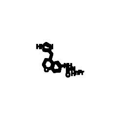 CCCNC(=O)Nc1ccc2c(c1)C(Cc1c[nH]cn1)CCO2